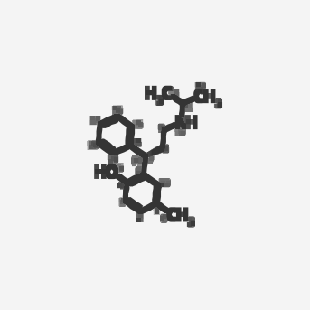 Cc1ccc(O)c([C@H](CCNC(C)C)c2ccccc2)c1